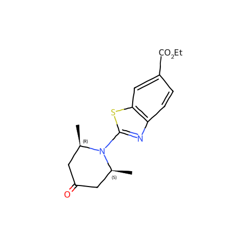 CCOC(=O)c1ccc2nc(N3[C@H](C)CC(=O)C[C@@H]3C)sc2c1